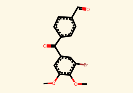 COc1cc(C(=O)c2ccc(C=O)cc2)cc(Br)c1OC